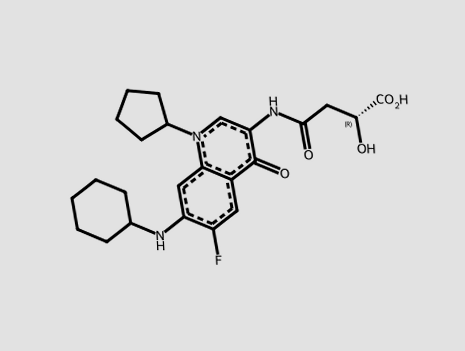 O=C(C[C@@H](O)C(=O)O)Nc1cn(C2CCCC2)c2cc(NC3CCCCC3)c(F)cc2c1=O